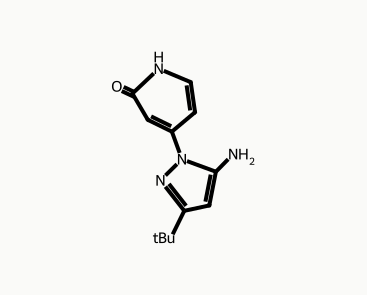 CC(C)(C)c1cc(N)n(-c2cc[nH]c(=O)c2)n1